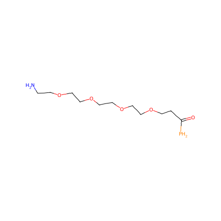 NCCOCCOCCOCCOCCC(=O)P